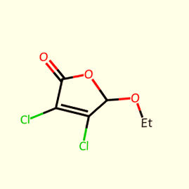 CCOC1OC(=O)C(Cl)=C1Cl